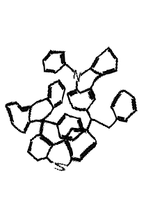 C1=CC(C2(c3ccccc3)c3ccccc3-c3ccccc32)=C2c3cc(C(Cc4ccccc4)c4ccc5c(c4)c4ccccc4n5-c4ccccc4)ccc3SC2C1